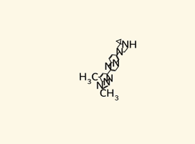 Cc1cn2nc(C3=CCN4C=C(N5CCNC6(CC6)C5)C=CC4=N3)cc(C)c2n1